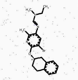 CCN(C)/C=N/c1cc(Br)c(O[C@@H]2CCc3ccccc3C2)nc1C